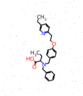 CCc1ccc(CCOc2ccc(CN(Cc3ccccc3)C(CC)C(=O)O)cc2)nc1